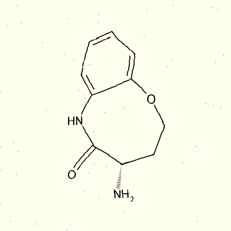 N[C@H]1CCOc2ccccc2NC1=O